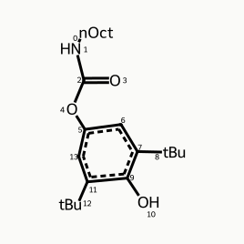 CCCCCCCCNC(=O)Oc1cc(C(C)(C)C)c(O)c(C(C)(C)C)c1